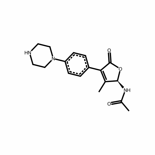 CC(=O)N[C@@H]1OC(=O)C(c2ccc(N3CCNCC3)cc2)=C1C